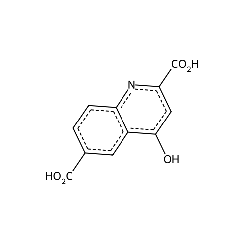 O=C(O)c1ccc2nc(C(=O)O)cc(O)c2c1